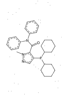 Cn1ncc(P(C2CCCCC2)C2CCCCC2)c1C(=O)N(c1ccccc1)c1ccccc1